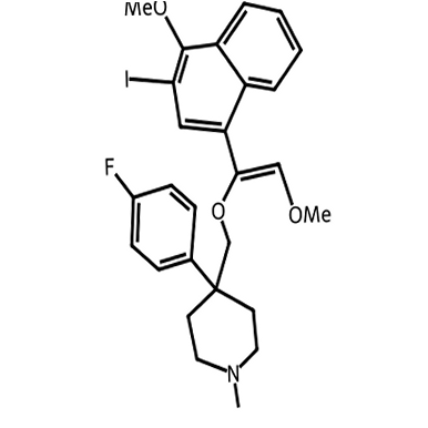 COC=C(OCC1(c2ccc(F)cc2)CCN(C)CC1)c1cc(I)c(OC)c2ccccc12